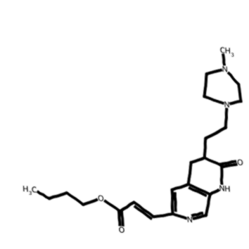 CCCCOC(=O)C=Cc1cc2c(cn1)NC(=O)C(CCN1CCN(C)CC1)C2